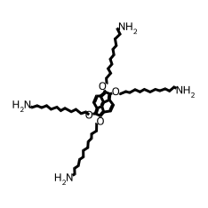 NCCCCCCCCCCCCOC1=c2ccc3c4c(ccc(c24)=C1OCCCCCCCCCCCCN)=C(OCCCCCCCCCCCCN)C=3OCCCCCCCCCCCCN